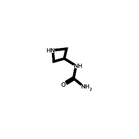 NC(=O)NC1CNC1